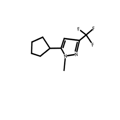 Cn1nc(C(F)(F)F)cc1C1CCCC1